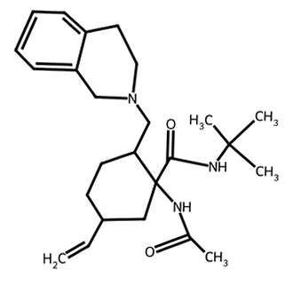 C=CC1CCC(CN2CCc3ccccc3C2)C(NC(C)=O)(C(=O)NC(C)(C)C)C1